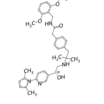 COc1cccc(OC)c1CNC(=O)Cc1ccc(CC(C)(C)NC[C@H](O)c2ccc(-n3c(C)ccc3C)nc2)cc1